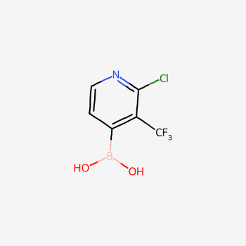 OB(O)c1ccnc(Cl)c1C(F)(F)F